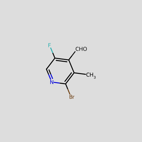 Cc1c(Br)ncc(F)c1C=O